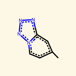 Cc1ccn2nnnc2c1